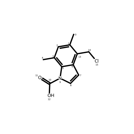 Cc1cc(C)c2c(ccn2C(=O)O)c1CCl